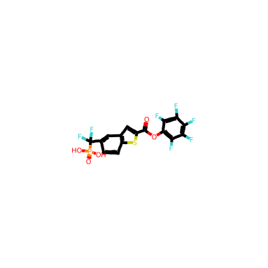 O=C(Oc1c(F)c(F)c(F)c(F)c1F)c1cc2cc(C(F)(F)P(=O)(O)O)ccc2s1